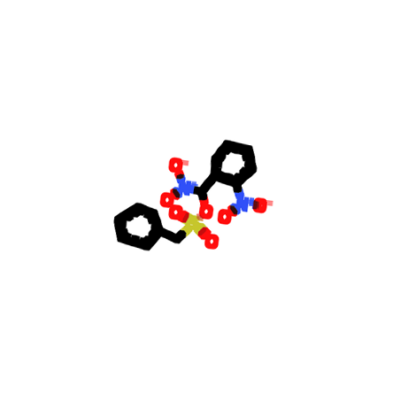 O=[N+]([O-])c1ccccc1C(OS(=O)(=O)Cc1ccccc1)[N+](=O)[O-]